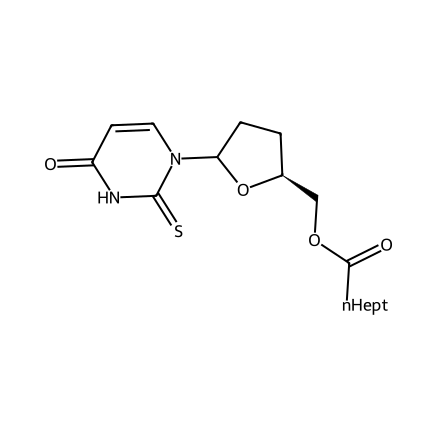 CCCCCCCC(=O)OC[C@@H]1CCC(n2ccc(=O)[nH]c2=S)O1